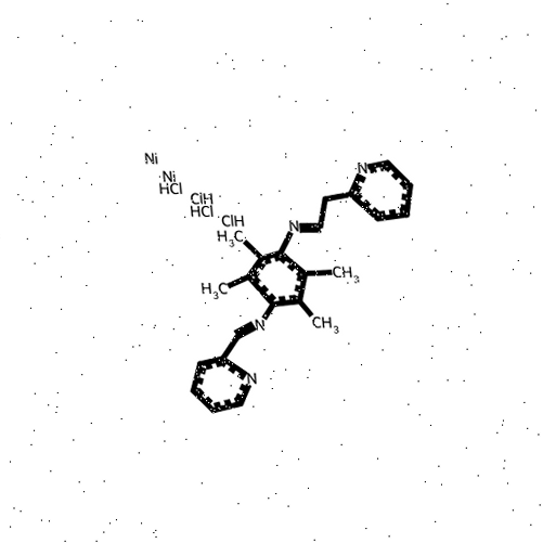 Cc1c(C)c(N=Cc2ccccn2)c(C)c(C)c1N=CCc1ccccn1.Cl.Cl.Cl.Cl.[Ni].[Ni]